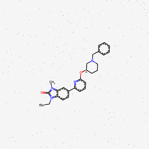 Cn1c(=O)n(CC(C)(C)C)c2ccc(-c3cccc(O[C@@H]4CCCN(Cc5ccccc5)C4)n3)cc21